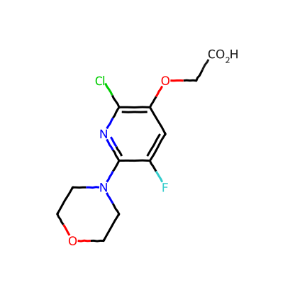 O=C(O)COc1cc(F)c(N2CCOCC2)nc1Cl